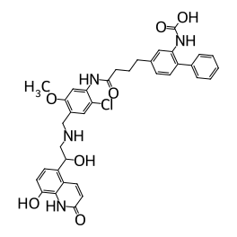 COc1cc(NC(=O)CCCc2ccc(-c3ccccc3)c(NC(=O)O)c2)c(Cl)cc1CNCC(O)c1ccc(O)c2[nH]c(=O)ccc12